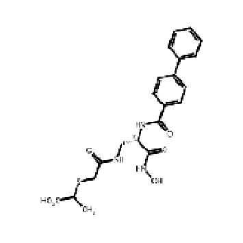 CC(SCC(=O)NC[C@H](NC(=O)c1ccc(-c2ccccc2)cc1)C(=O)NO)C(=O)O